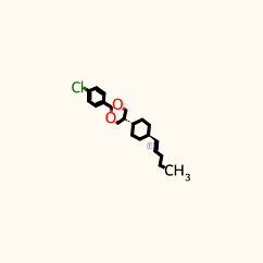 CCC/C=C/[C@H]1CC[C@H](C2COC(c3ccc(Cl)cc3)OC2)CC1